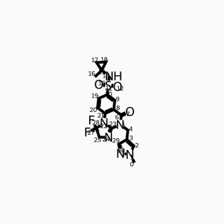 Cn1cc(CN2C(=O)c3cc(S(=O)(=O)NC4(C)CC4)ccc3N3C2=NCC3(F)F)cn1